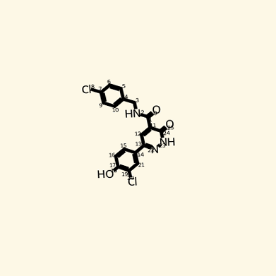 O=C(NCc1ccc(Cl)cc1)c1cc(-c2ccc(O)c(Cl)c2)n[nH]c1=O